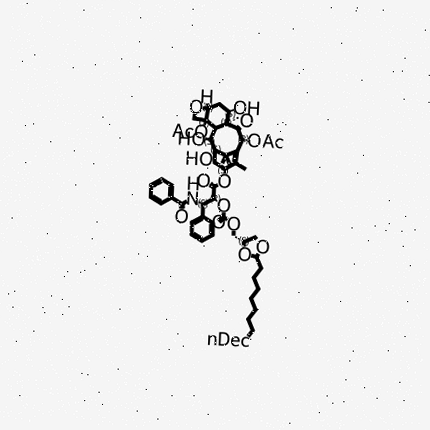 CCCCCCCCCCCCCCCCCC1OC[C@@H](COC(=O)O[C@@H](C(=O)O[C@H]2C[C@@]3(O)[C@@H](O)C4[C@](C)(C(=O)[C@H](OC(C)=O)C(=C2C)C3(C)C)[C@@H](O)C[C@H]2OC[C@@]42OC(C)=O)[C@@H](NC(=O)c2ccccc2)c2ccccc2)O1